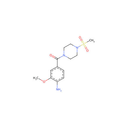 COc1cc(C(=O)N2CCN(S(C)(=O)=O)CC2)ccc1N